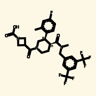 Cc1cc(F)ccc1[C@@H]1CN(C(=O)C2CN(C(=O)O)C2)CC[C@H]1C(=O)N(C)Cc1cc(C(F)(F)F)cc(C(F)(F)F)c1